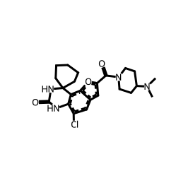 CN(C)C1CCN(C(=O)c2cc3cc(Cl)c4c(c3o2)C2(CCCCC2)NC(=O)N4)CC1